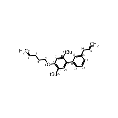 C=CCCCOc1cc(C(C)(C)C)c(-c2cccc(CC=C)c2)cc1C(C)(C)C